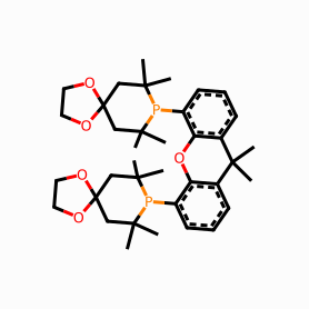 CC1(C)c2cccc(P3C(C)(C)CC4(CC3(C)C)OCCO4)c2Oc2c(P3C(C)(C)CC4(CC3(C)C)OCCO4)cccc21